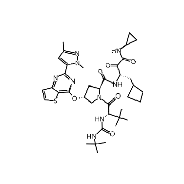 Cc1cc(-c2nc(O[C@@H]3C[C@@H](C(=O)N[C@@H](CC4CCC4)C(=O)C(=O)NC4CC4)N(C(=O)[C@@H](NC(=O)NC(C)(C)C)C(C)(C)C)C3)c3sccc3n2)n(C)n1